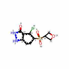 O=c1[nH][nH]c2ccc(S(=O)(=O)C3COC3)c(Br)c12